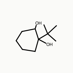 CC(C)(C)C1(O)CCCCC1O